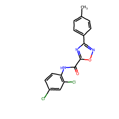 Cc1ccc(-c2noc(C(=O)Nc3ccc(Cl)cc3Cl)n2)cc1